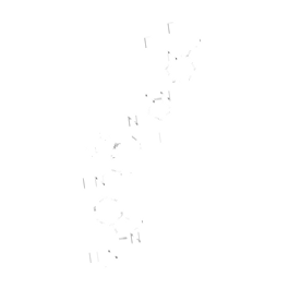 C[C@]1([C@@H](O)C(=O)Nc2ccc3c(N)noc3c2)OCCN(c2nn(-c3ccc(=O)n(C(F)F)c3)cc2F)C1=O